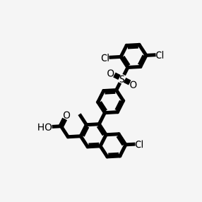 Cc1c(CC(=O)O)cc2ccc(Cl)cc2c1-c1ccc(S(=O)(=O)c2cc(Cl)ccc2Cl)cc1